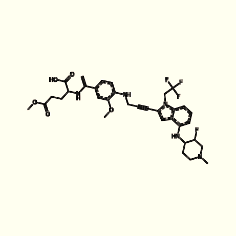 C=C(NC(CCC(=O)OC)C(=O)O)c1ccc(NCC#Cc2cc3c(NC4CCN(C)CC4F)cccc3n2CC(F)(F)F)c(OC)c1